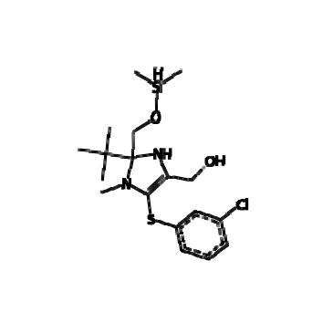 CN1C(Sc2cccc(Cl)c2)=C(CO)NC1(CO[SiH](C)C)C(C)(C)C